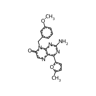 COc1cccc(Cn2c(=O)cnc3c(-c4ccc(C)o4)nc(N)nc32)c1